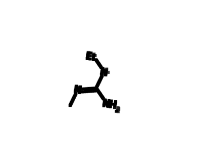 CC[N]C(N)=NC